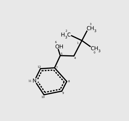 CC(C)(C)CC(O)c1cccnc1